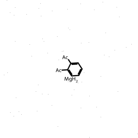 CC(=O)c1ccccc1C(C)=O.[MgH2]